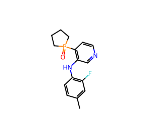 Cc1ccc(Nc2cnccc2P2(=O)CCCC2)c(F)c1